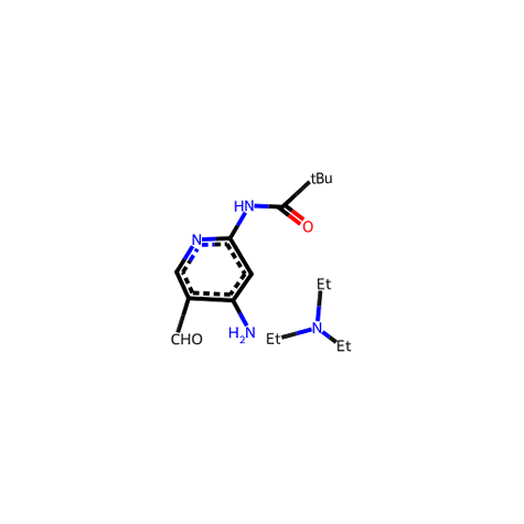 CC(C)(C)C(=O)Nc1cc(N)c(C=O)cn1.CCN(CC)CC